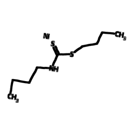 CCCCNC(=S)SCCCC.[Ni]